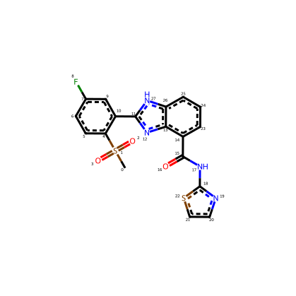 CS(=O)(=O)c1ccc(F)cc1-c1nc2c(C(=O)Nc3nccs3)cccc2[nH]1